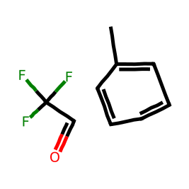 Cc1ccccc1.O=CC(F)(F)F